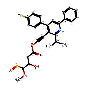 COC(P=O)C(O)CC(=O)OC#Cc1c(-c2ccc(F)cc2)cc(-c2ccccc2)nc1C(C)C